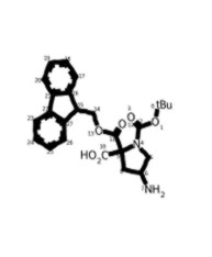 CC(C)(C)OC(=O)N1CC(N)CC1(C(=O)O)C(=O)OCC1c2ccccc2-c2ccccc21